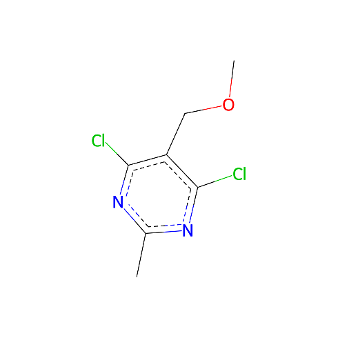 COCc1c(Cl)nc(C)nc1Cl